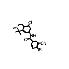 CC(C)c1ccc(C(=O)Nc2cc(Cl)c3c(c2)C(C)(C)N(C)CC3)cc1C#N